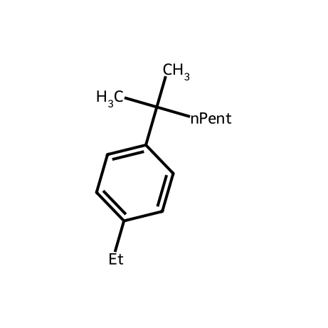 CCCCCC(C)(C)c1ccc(CC)cc1